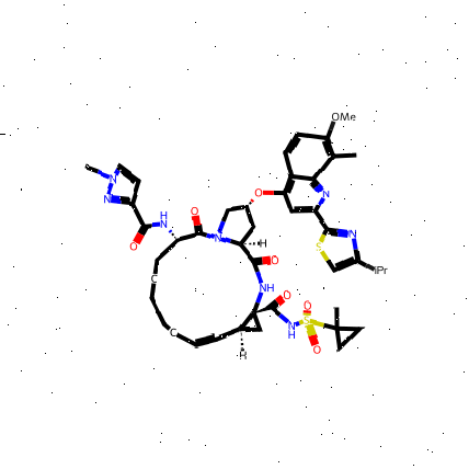 COc1ccc2c(O[C@@H]3C[C@H]4C(=O)N[C@]5(C(=O)NS(=O)(=O)C6(C)CC6)C[C@H]5/C=C\CCCCC[C@H](NC(=O)c5ccn(C)n5)C(=O)N4C3)cc(-c3nc(C(C)C)cs3)nc2c1C